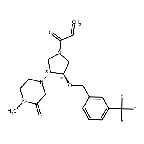 C=CC(=O)N1C[C@@H](N2CCN(C)C(=O)C2)[C@H](OCc2cccc(C(F)(F)F)c2)C1